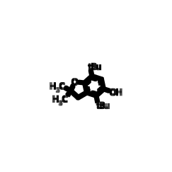 CC1(C)Cc2c(c(C(C)(C)C)cc(O)c2C(C)(C)C)O1